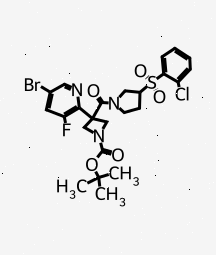 CC(C)(C)OC(=O)N1CC(C(=O)N2CCC(S(=O)(=O)c3ccccc3Cl)C2)(c2ncc(Br)cc2F)C1